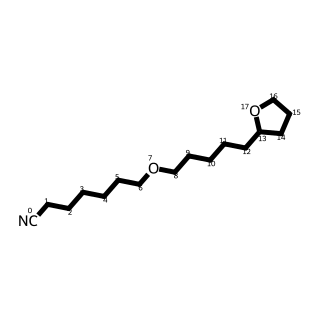 N#CCCCCCCOCCCCCC1CCCO1